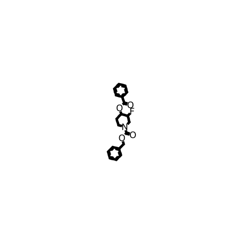 O=C(OC1CCN(C(=O)OCc2ccccc2)CC1F)c1ccccc1